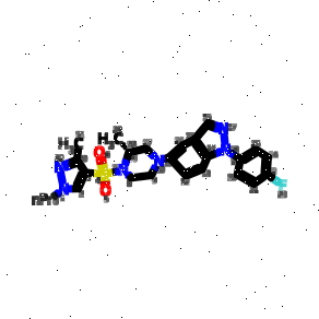 CCCn1cc(S(=O)(=O)N2CCN(c3ccc4c(cnn4-c4ccc(F)cc4)c3)C[C@H]2C)c(C)n1